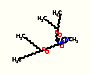 CCCCCCCCCCCC(CCCCCCCCCCC)COC(=O)CCCCCCN(C(=O)N1CCCN(CC)CC1)C1CC(CC(=O)OCC(CCCCCCCC)CCCCCCCC)C1